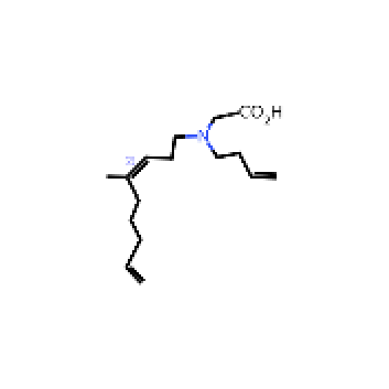 C=CCCC/C(C)=C\CCN(CCC=C)CC(=O)O